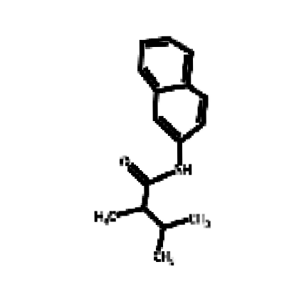 CC(C)C(C)C(=O)Nc1ccc2ccccc2c1